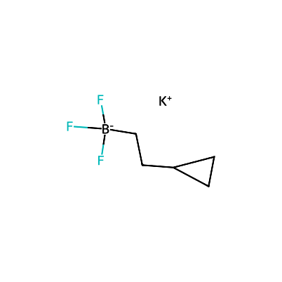 F[B-](F)(F)CCC1CC1.[K+]